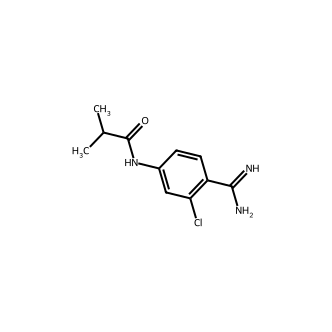 CC(C)C(=O)Nc1ccc(C(=N)N)c(Cl)c1